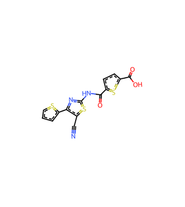 N#Cc1sc(NC(=O)c2ccc(C(=O)O)s2)nc1-c1cccs1